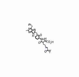 Cc1nc(CC(C)C)c2nc(Cn3cccc(NC(=O)[C@H](CC/C=C/C(=O)N(C)C)NC(=O)O)c3=O)[nH]c2n1